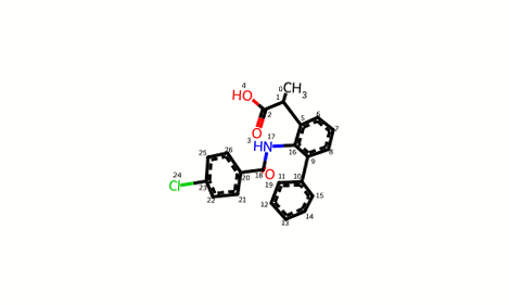 CC(C(=O)O)c1cccc(-c2ccccc2)c1NC(=O)c1ccc(Cl)cc1